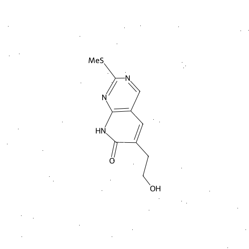 CSc1ncc2cc(CCO)c(=O)[nH]c2n1